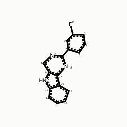 Fc1cccc(-c2ncc3[nH]c4ccccc4c3n2)c1